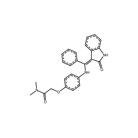 CN(C)C(=O)COc1ccc(N/C(=C2\C(=O)Nc3ccccc32)c2ccccc2)cc1